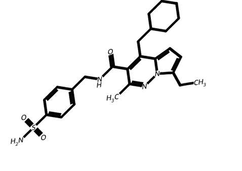 CCc1ccc2c(CC3CCCCC3)c(C(=O)NCc3ccc(S(N)(=O)=O)cc3)c(C)nn12